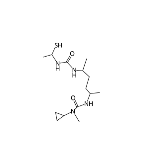 CC(S)NC(=O)NC(C)CCC(C)NC(=O)N(C)C1CC1